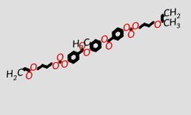 C=CC(=O)OCCCCOC(=O)Oc1ccc(C(=O)Oc2ccc(OC(=O)c3ccc(OC(=O)OCCCCOC(C)C=C)cc3)cc2C)cc1